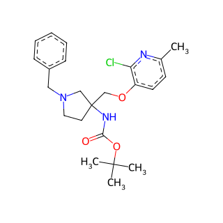 Cc1ccc(OCC2(NC(=O)OC(C)(C)C)CCN(Cc3ccccc3)C2)c(Cl)n1